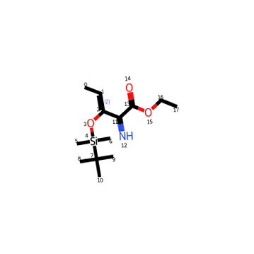 C/C=C(\O[Si](C)(C)C(C)(C)C)C(=N)C(=O)OCC